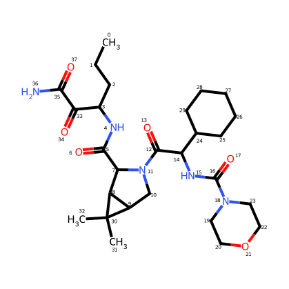 CCCC(NC(=O)C1C2C(CN1C(=O)C(NC(=O)N1CCOCC1)C1CCCCC1)C2(C)C)C(=O)C(N)=O